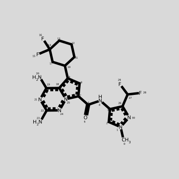 Cn1cc(NC(=O)c2cc(C3CCCC(F)(F)C3)c3c(N)nc(N)nn23)c(C(F)F)n1